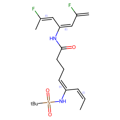 C=C(F)/C=C(\C=C(/C)F)NC(=O)CC/C=C(\C=C/C)NS(=O)(=O)C(C)(C)C